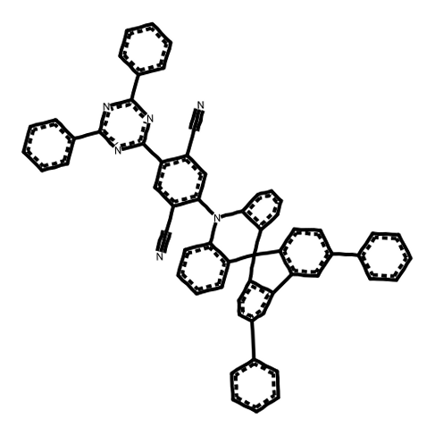 N#Cc1cc(N2c3ccccc3C3(c4ccc(-c5ccccc5)cc4-c4cc(-c5ccccc5)ccc43)c3ccccc32)c(C#N)cc1-c1nc(-c2ccccc2)nc(-c2ccccc2)n1